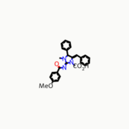 COc1ccc(C(=O)/N=C2/N(C(=O)O)/C(=C\c3ccccc3)C(c3ccccc3)N2C)cc1